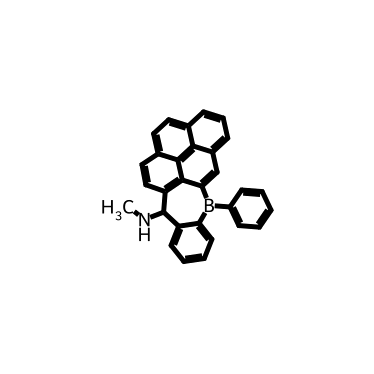 CNC1c2ccccc2B(c2ccccc2)c2cc3cccc4ccc5ccc1c2c5c43